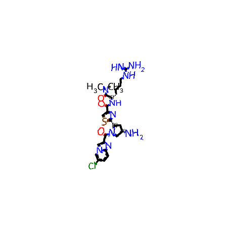 CN(C)C(=O)[C@H](CCCCNC(=N)N)NC(=O)c1csc([C@@H]2C[C@@H](N)CN2C(=O)c2cn3cc(Cl)ccc3n2)n1